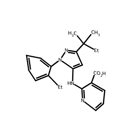 CCc1ccccc1-n1nc(C(C)(C)CC)cc1Nc1ncccc1C(=O)O